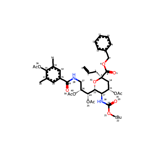 C=CC[C@]1(C(=O)OCc2ccccc2)C[C@H](OC(C)=O)[C@@H](NC(=O)OC(C)(C)C)[C@H]([C@H](OC(C)=O)[C@@H](CNC(=O)c2cc(C)c(OC(C)=O)c(C)c2)OC(C)=O)O1